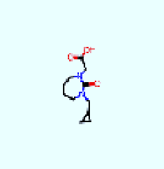 O=C(O)CN1CCCCN(CC2CC2)C1=O